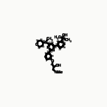 CNCC(O)COc1cccc(-c2nc(-c3ccnc(C(C)(C)O)c3)cc(N(C)C3CCOCC3)n2)c1